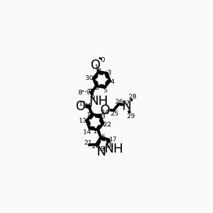 COc1cccc([C@@H](C)NC(=O)c2ccc(-c3c[nH]nc3C)cc2OCCN(C)C)c1